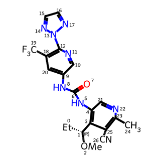 CC[C@@H](OC)c1c(NC(=O)Nc2cnc(-n3nccn3)c(C(F)(F)F)c2)cnc(C)c1C#N